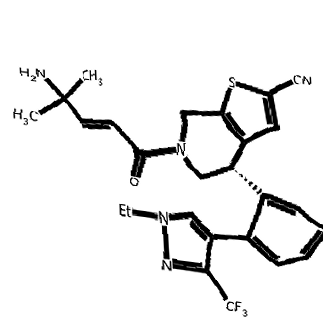 CCn1cc(-c2ccccc2[C@@H]2CN(C(=O)/C=C/C(C)(C)N)Cc3sc(C#N)cc32)c(C(F)(F)F)n1